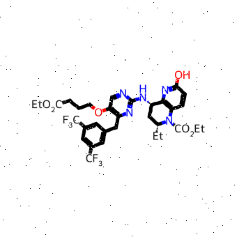 CCOC(=O)CCCOc1cnc(N[C@H]2C[C@@H](CC)N(C(=O)OCC)c3ccc(O)nc32)nc1Cc1cc(C(F)(F)F)cc(C(F)(F)F)c1